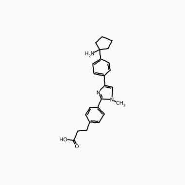 Cn1cc(-c2ccc(C3(N)CCCC3)cc2)nc1-c1ccc(CCC(=O)O)cc1